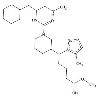 CNCC(CC1CCCCC1)NC(=O)N1CCCC(C(CCCC(O)OC)c2nccn2C)C1